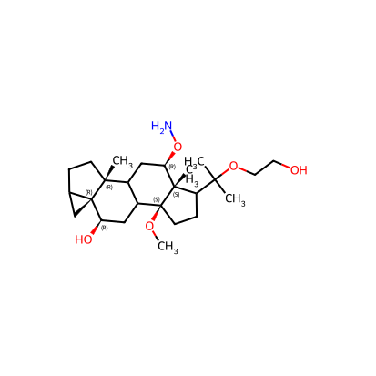 CO[C@]12CCC(C(C)(C)OCCO)[C@@]1(C)[C@H](ON)CC1C2C[C@@H](O)[C@]23CC2CC[C@]13C